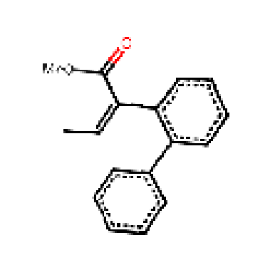 CC=C(C(=O)OC)c1ccccc1-c1ccccc1